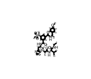 CCNC(=O)[C@@H](NC(=O)[C@H](C)NC[C@H](Cc1cscn1)NC(=O)c1cc(C(=O)N[C@H](C)c2ccc(OC)cc2)cc(N(C)S(C)(=O)=O)c1)C(C)C